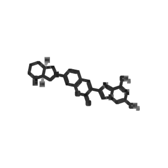 Cc1cn2cc(-c3cc4ccc(N5C[C@@H]6CCCN[C@@H]6C5)cc4oc3=O)nc2c(C)n1